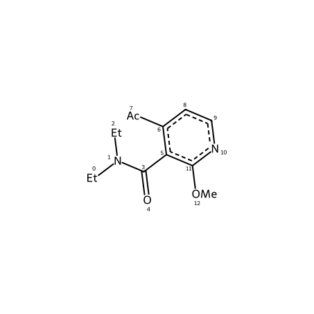 CCN(CC)C(=O)c1c(C(C)=O)ccnc1OC